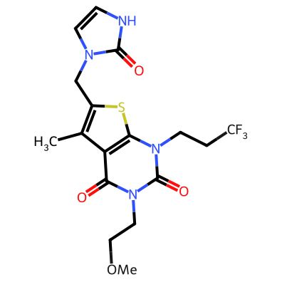 COCCn1c(=O)c2c(C)c(Cn3cc[nH]c3=O)sc2n(CCC(F)(F)F)c1=O